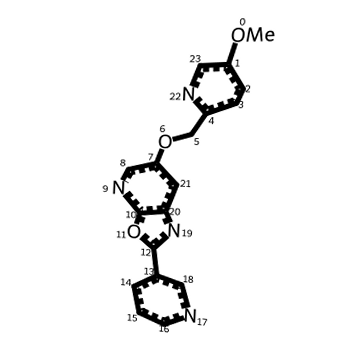 COc1ccc(COc2cnc3oc(-c4cccnc4)nc3c2)nc1